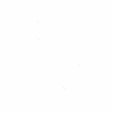 Cc1nc(C)c(-c2ccc3c(c2)CCN(c2noc4ccccc24)C3)c(N2CCC(C)(C)CC2)c1CC(=O)O